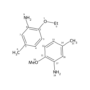 CCOc1ccc(C)cc1N.COc1ccc(C)cc1N